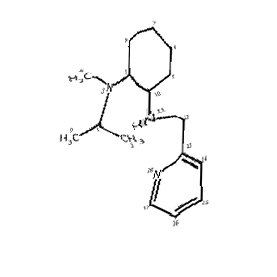 CC(C)N(C)C1CCCCC1NCc1ccccn1